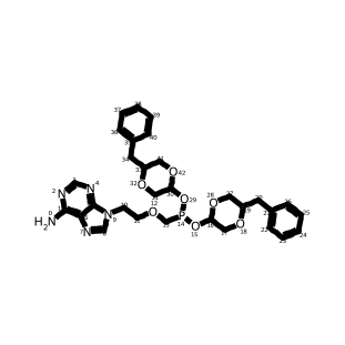 Nc1ncnc2c1ncn2CCOCP(OC1COC(Cc2ccccc2)CO1)OC1COC(Cc2ccccc2)CO1